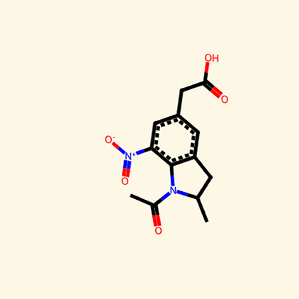 CC(=O)N1c2c(cc(CC(=O)O)cc2[N+](=O)[O-])CC1C